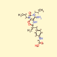 CCCn1c(N)c(NC(=O)C(C)Cc2ccc(NCC(=O)O)cc2)c(=O)n(CCC)c1=O